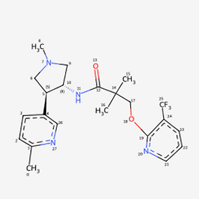 Cc1ccc([C@H]2CN(C)C[C@@H]2NC(=O)C(C)(C)COc2ncccc2C(F)(F)F)cn1